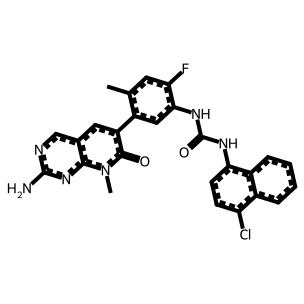 Cc1cc(F)c(NC(=O)Nc2ccc(Cl)c3ccccc23)cc1-c1cc2cnc(N)nc2n(C)c1=O